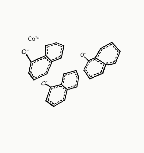 [Co+3].[O-]c1cccc2ccccc12.[O-]c1cccc2ccccc12.[O-]c1cccc2ccccc12